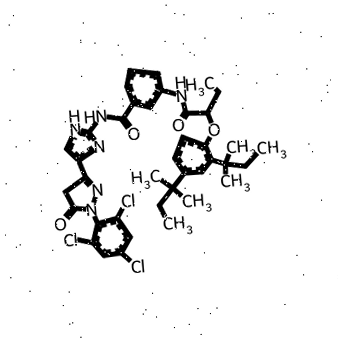 CCC(Oc1ccc(C(C)(C)CC)cc1C(C)(C)CC)C(=O)Nc1cccc(C(=O)Nc2nc(C3=NN(c4c(Cl)cc(Cl)cc4Cl)C(=O)C3)c[nH]2)c1